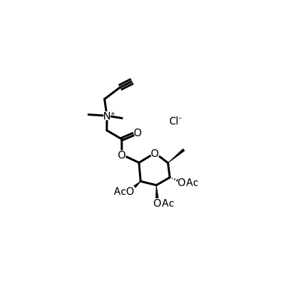 C#CC[N+](C)(C)CC(=O)OC1O[C@@H](C)[C@H](OC(C)=O)[C@@H](OC(C)=O)[C@H]1OC(C)=O.[Cl-]